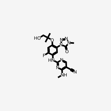 CNc1nc(Nc2cc(-n3nnn(C)c3=O)c(OC(C)(C)CO)cc2F)ncc1C#N